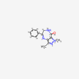 Cc1nn(C)c2c1N=C(c1ccccc1)CNC2=O